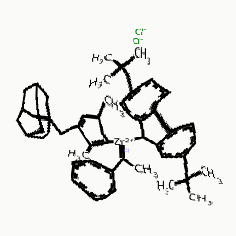 CC1=[C](/[Zr+2](=[C](/C)c2ccccc2)[CH]2c3cc(C(C)(C)C)ccc3-c3ccc(C(C)(C)C)cc32)C(C)C=C1CC12CC3CC(CC(C3)C1)C2.[Cl-].[Cl-]